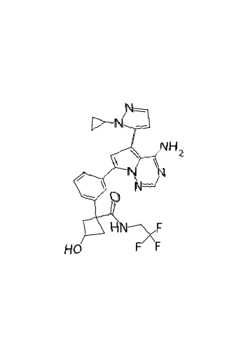 Nc1ncnn2c(-c3cccc(C4(C(=O)NCC(F)(F)F)CC(O)C4)c3)cc(-c3ccnn3C3CC3)c12